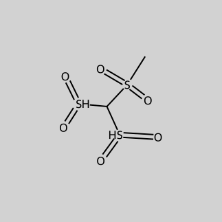 CS(=O)(=O)C([SH](=O)=O)[SH](=O)=O